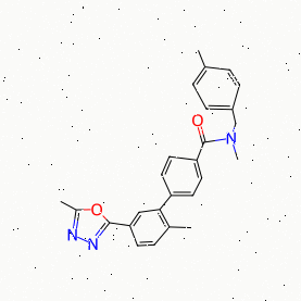 Cc1ccc(CN(C)C(=O)c2ccc(-c3cc(-c4nnc(C)o4)ccc3C)cc2)cc1